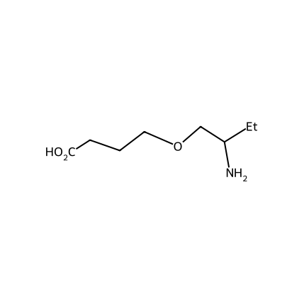 CCC(N)COCCCC(=O)O